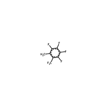 Cc1c(F)c(F)c(F)c(F)c1C(F)(F)F